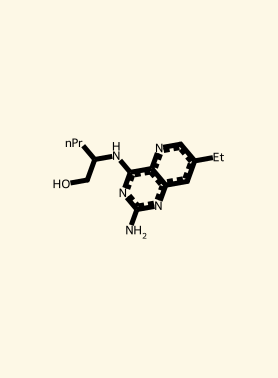 CCCC(CO)Nc1nc(N)nc2cc(CC)cnc12